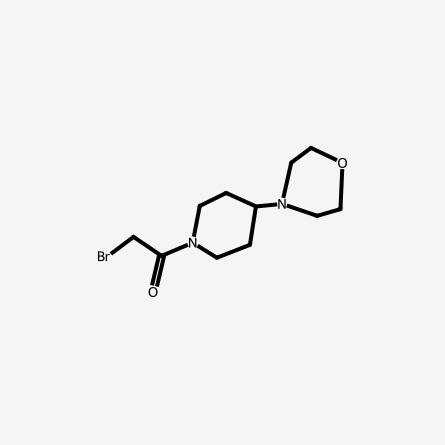 O=C(CBr)N1CCC(N2CCOCC2)CC1